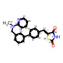 CN(Cc1cccc(-c2ccc(/C=C3\SC(=O)NC3=O)cc2)c1)c1ccccn1